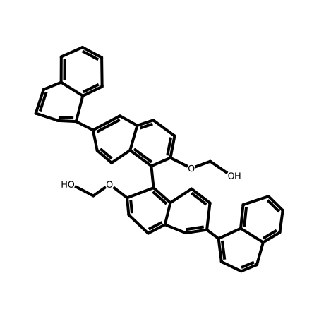 OCOc1ccc2cc(-c3cccc4ccccc34)ccc2c1-c1c(OCO)ccc2cc(-c3cccc4ccccc34)ccc12